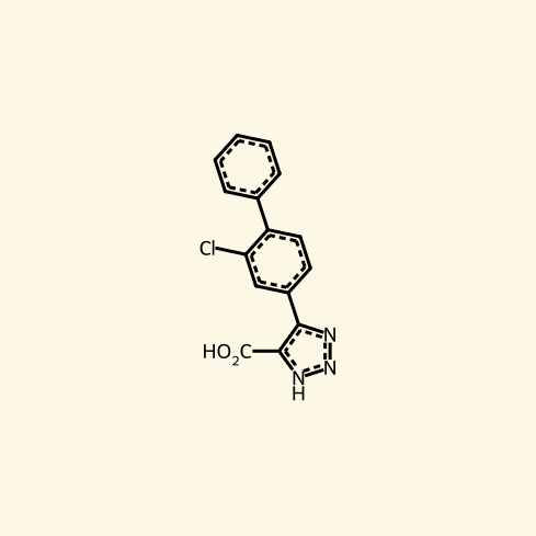 O=C(O)c1[nH]nnc1-c1ccc(-c2ccccc2)c(Cl)c1